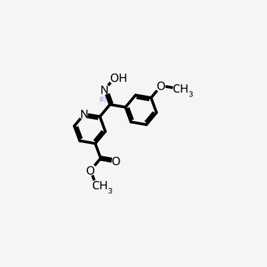 COC(=O)c1ccnc(/C(=N/O)c2cccc(OC)c2)c1